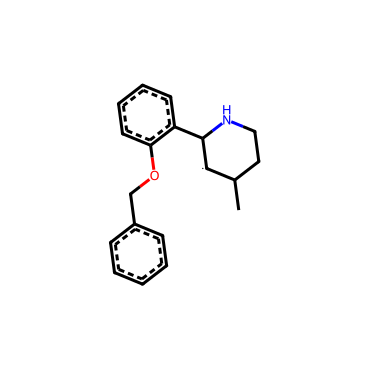 CC1[CH]C(c2ccccc2OCc2ccccc2)NCC1